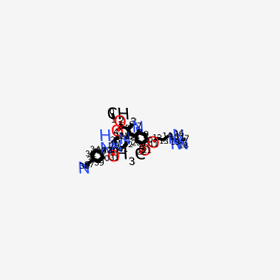 CCOC(=O)c1cnc2cc(OCCCn3ncnn3)c(OC)cc2c1N1CCN(C(=O)Nc2ccc(C#N)cc2)CC1